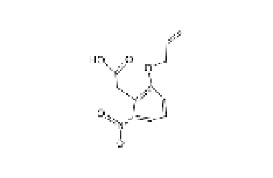 C=CCOc1cccc([N+](=O)[O-])c1CC(=O)O